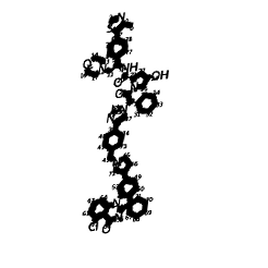 Cc1ncsc1-c1ccc([C@H](CN2CCOCC2)NC(=O)[C@@H]2C[C@@H](O)CN2C(=O)[C@H](C2CCCCC2)n2cc(C3CCC(CN4CCC(c5ccc6c(c5)-n5c(nc(=O)c7c(Cl)cccc75)C65CCCCC5)C4)CC3)nn2)cc1